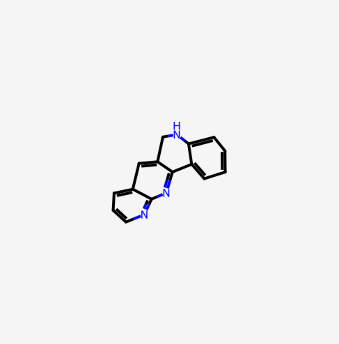 c1ccc2c(c1)NCc1cc3cccnc3nc1-2